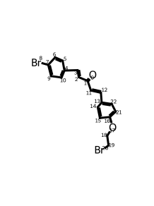 O=C(C=Cc1ccc(Br)cc1)C=Cc1ccc(OCCBr)cc1